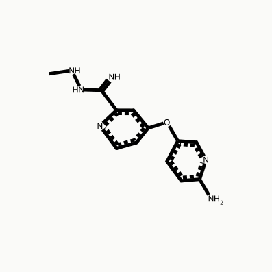 CNNC(=N)c1cc(Oc2ccc(N)nc2)ccn1